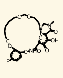 CN1CN2CCCCCCCCCCCOc3cc(F)ccc3CNC(=O)c3cn2c(c(O)c3=O)C1=O